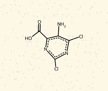 Nc1c(Cl)nc(Cl)nc1C(=O)O